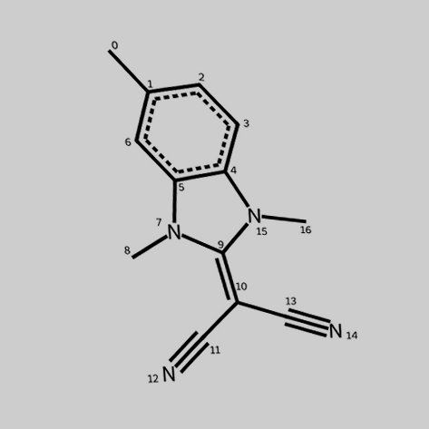 Cc1ccc2c(c1)N(C)C(=C(C#N)C#N)N2C